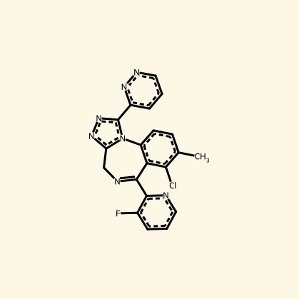 Cc1ccc2c(c1Cl)C(c1ncccc1F)=NCc1nnc(-c3cccnn3)n1-2